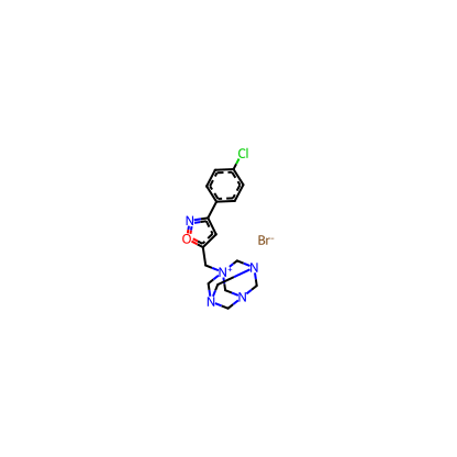 Clc1ccc(-c2cc(C[N+]34CN5CN(CN(C5)C3)C4)on2)cc1.[Br-]